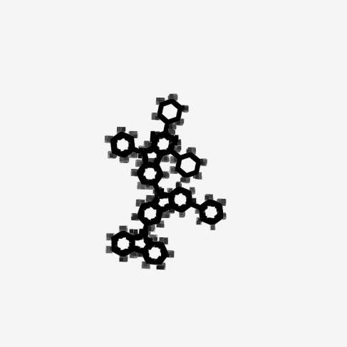 c1ccc(-c2ccc3c(c2)c2cc(-n4c5ccccc5c5ccccc54)ccc2n3-c2ccc3c(c2)c2c(C4CCCCC4)nc(C4CCCCC4)nc2n3-c2ccccc2)cc1